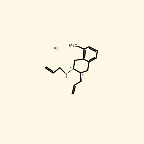 C=CCN[C@@H]1Cc2c(cccc2OC)C[C@H]1CC=C.Cl